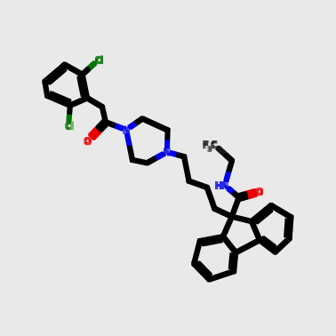 O=C(Cc1c(Cl)cccc1Cl)N1CCN(CCCCC2(C(=O)NCC(F)(F)F)c3ccccc3-c3ccccc32)CC1